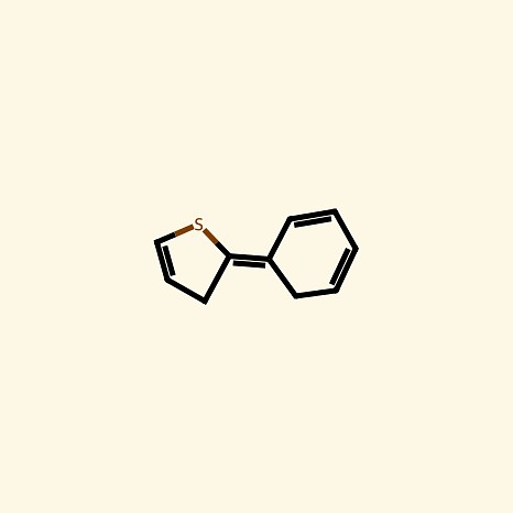 C1=CCC(=C2CC=CS2)C=C1